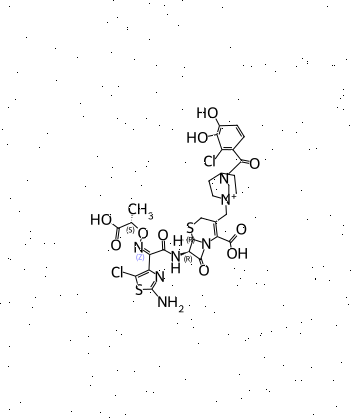 C[C@H](O/N=C(\C(=O)N[C@@H]1C(=O)N2C(C(=O)O)=C(C[N+]34CCC(CC3)N(C(=O)c3ccc(O)c(O)c3Cl)CC4)CS[C@H]12)c1nc(N)sc1Cl)C(=O)O